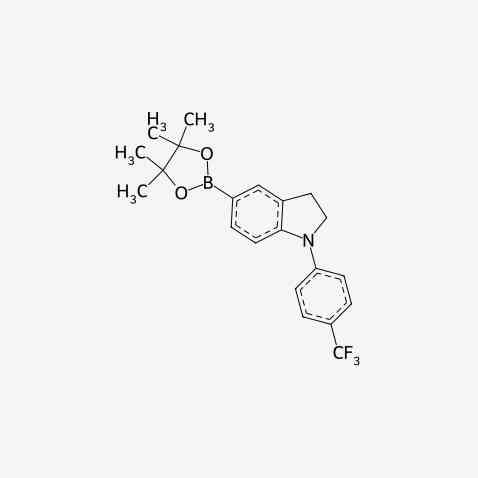 CC1(C)OB(c2ccc3c(c2)CCN3c2ccc(C(F)(F)F)cc2)OC1(C)C